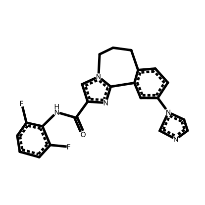 O=C(Nc1c(F)cccc1F)c1cn2c(n1)-c1cc(-n3ccnc3)ccc1CCC2